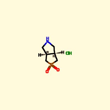 Cl.O=S1(=O)C[C@H]2CNC[C@H]2C1